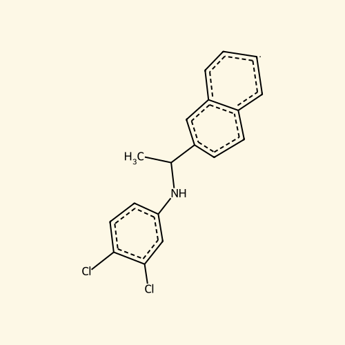 CC(Nc1ccc(Cl)c(Cl)c1)c1ccc2c[c]ccc2c1